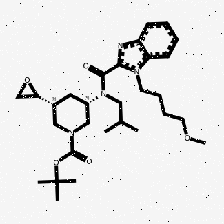 COCCCCn1c(C(=O)N(CC(C)C)[C@H]2C[C@@H](C3CO3)CN(C(=O)OC(C)(C)C)C2)nc2ccccc21